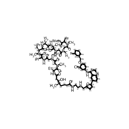 CC[C@H](NC(=O)C[C@H](O)[C@H](C)CCCC(=O)NCCNCc1ccc(-c2ccc3ncnc(Nc4ccc(OCc5cccc(F)c5)c(Cl)c4)c3c2)o1)C(=O)N(C)CC(=O)N(C)CC(=O)NC(C(=O)N(C)[C@@H](CC(C)C)C(=O)N[C@@H](C)C(=O)N[C@H](C)C(=O)N(C)CC(=O)N(C)CC(=O)N(C)C(C(=O)NC)C(C)C)C(C)C